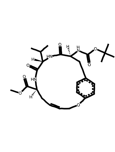 COC(=O)[C@@H]1CC=CCOc2ccc(cc2)C[C@H](NC(=O)OC(C)(C)C)C(=O)N[C@@H](C(C)C)C(=O)N1